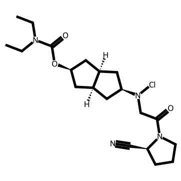 CCN(CC)C(=O)O[C@@H]1C[C@@H]2C[C@H](N(Cl)CC(=O)N3CCC[C@H]3C#N)C[C@@H]2C1